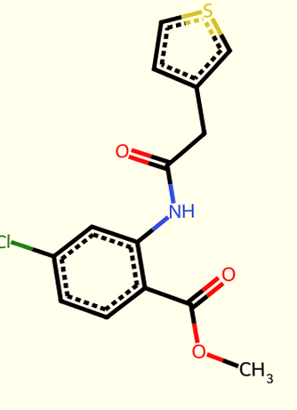 COC(=O)c1ccc(Cl)cc1NC(=O)Cc1ccsc1